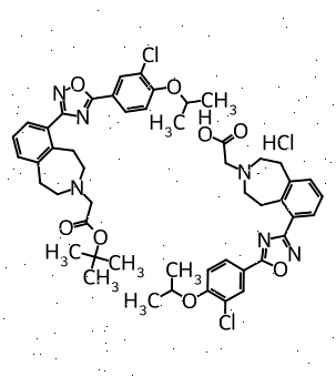 CC(C)Oc1ccc(-c2nc(-c3cccc4c3CCN(CC(=O)O)CC4)no2)cc1Cl.CC(C)Oc1ccc(-c2nc(-c3cccc4c3CCN(CC(=O)OC(C)(C)C)CC4)no2)cc1Cl.Cl